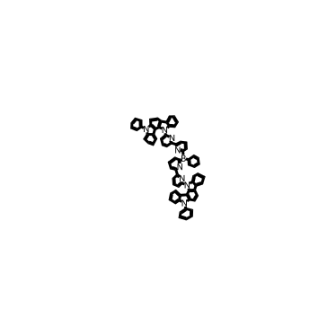 c1ccc(B(c2cccc(-c3cccc(-n4c5ccccc5c5ccc6c(c7ccccc7n6-c6ccccc6)c54)n3)n2)c2cccc(-c3cccc(-n4c5ccccc5c5ccc6c(c7ccccc7n6-c6ccccc6)c54)n3)n2)cc1